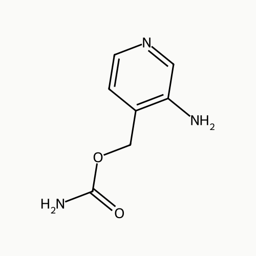 NC(=O)OCc1ccncc1N